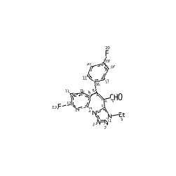 CCn1nnnc1C(C=O)=C(c1ccc(F)cc1)c1ccc(F)cc1